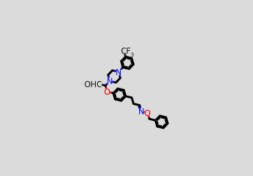 O=CC(Oc1ccc(CCC=NOCc2ccccc2)cc1)N1CCN(c2cccc(C(F)(F)F)c2)CC1